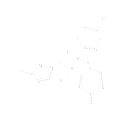 Cc1ncn(CC(O)(c2cccc(F)c2)C(F)(F)c2ccc(Br)cn2)n1